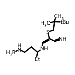 BNCCC(CC)N/C=C(\C=N)SCC(C)(C)C(C)(C)C